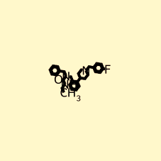 CCNC(=O)N(Cc1ccccc1)Cc1ccccc1C1CCN(Cc2ccc(F)cc2)CC1